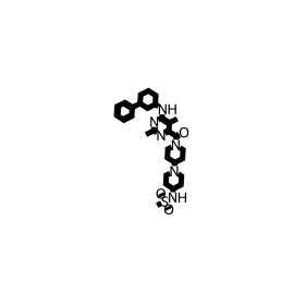 Cc1nc(NC2CCCC(c3ccccc3)C2)c(C)c(C(=O)N2CCC(N3CCC(NS(C)(=O)=O)CC3)CC2)n1